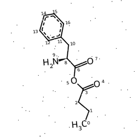 CCCC(=O)OC(=O)[C@@H](N)Cc1ccccc1